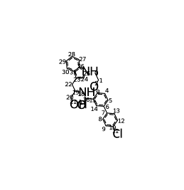 CCOc1ccc(-c2ccc(Cl)cc2)cc1C(=O)NC(CO)Cc1c[nH]c2ccccc12